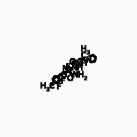 Cc1ccc(COc2nsc(NC(=O)NCC(C)CN3CCCCC3)c2C(N)=O)c(F)c1F